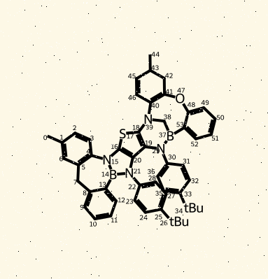 Cc1ccc2c(c1)Cc1ccccc1B1N2c2sc3c(c2N1c1ccc(C(C)(C)C)cc1)N(c1ccc(C(C)(C)C)cc1)B1CN3C2=C(CC(C)C=C2)Oc2ccccc21